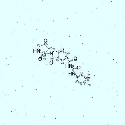 Cc1ccc(NC(=O)NC(=O)c2ccc3c(c2)C(=O)N(C2(C)CC(=O)CNC2=O)C3)cc1Cl